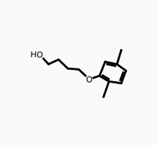 Cc1ccc(C)c(OCCCCO)c1